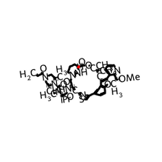 C=CC(=O)N1C[C@@H](C)N(C(=O)N(C)[C@H](C(=O)N[C@H]2Cc3nc(cs3)-c3ccc4oc(-c5cccnc5[C@H](C)OC)c(c4c3)CC(C)(C)COC(=O)[C@@H]3CCCN(N3)C2=O)C(C)C)[C@H](C)C1